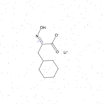 O=C([O-])/C(CC1CCCCC1)=N\O.[Li+]